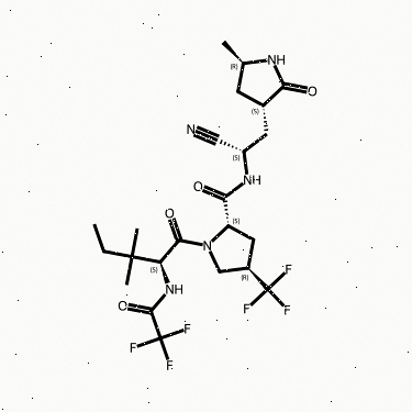 CCC(C)(C)[C@H](NC(=O)C(F)(F)F)C(=O)N1C[C@H](C(F)(F)F)C[C@H]1C(=O)N[C@H](C#N)C[C@@H]1C[C@@H](C)NC1=O